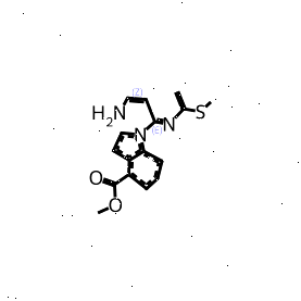 C=C(/N=C(\C=C/N)n1ccc2c(C(=O)OC)cccc21)SC